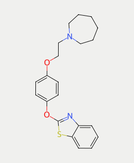 c1ccc2sc(Oc3ccc(OCCN4CCCCCC4)cc3)nc2c1